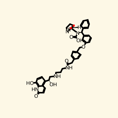 O=C(Cc1ccc(COc2cccc([C@H](c3ccccc3)N(C(=O)O)[C@H]3CN4CCC3CC4)c2)cc1)NCCCNC[C@H](O)c1ccc(O)c2[nH]c(=O)ccc12